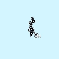 COc1cccc(C2CC(c3ccc4c(=O)n(-c5ccc(F)cc5)c(CCCCC(=O)O)nc4c3)=NO2)c1